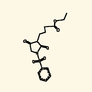 CCOC(=O)CCCC1C(=O)CN(S(=O)(=O)c2ccccc2)C1=O